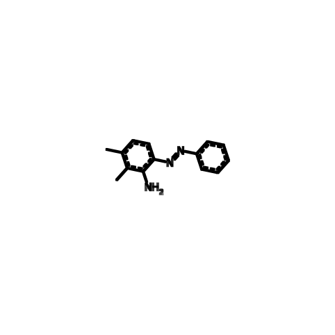 Cc1ccc(N=Nc2ccccc2)c(N)c1C